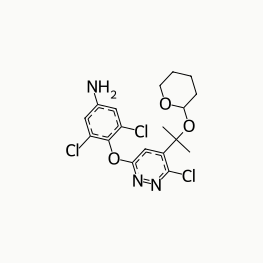 CC(C)(OC1CCCCO1)c1cc(Oc2c(Cl)cc(N)cc2Cl)nnc1Cl